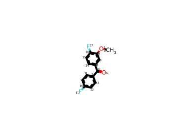 COc1cc(C(=O)c2ccc(F)cc2)ccc1F